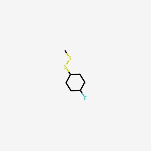 CSSC1CCC(F)CC1